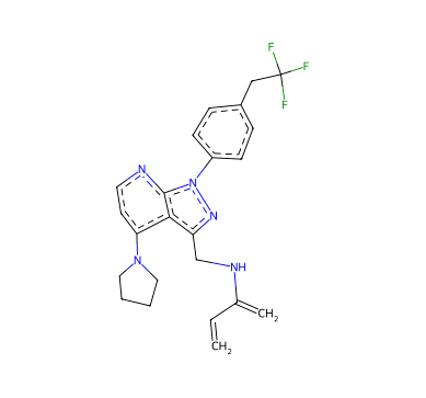 C=CC(=C)NCc1nn(-c2ccc(CC(F)(F)F)cc2)c2nccc(N3CCCC3)c12